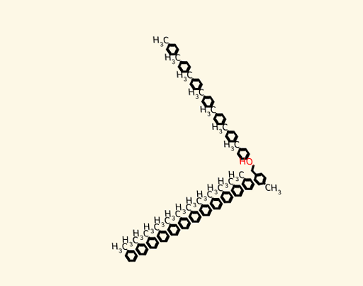 Cc1ccc(CCO)cc1.Cc1ccccc1.Cc1ccccc1.Cc1ccccc1.Cc1ccccc1.Cc1ccccc1.Cc1ccccc1.Cc1ccccc1.Cc1ccccc1.Cc1ccccc1.Cc1ccccc1.Cc1ccccc1.Cc1ccccc1.Cc1ccccc1.Cc1ccccc1.Cc1ccccc1.Cc1ccccc1.Cc1ccccc1.Cc1ccccc1.Cc1ccccc1